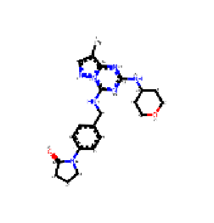 CC(C)c1cnn2c(NCc3ccc(N4CCCC4=O)cc3)nc(NC3CCOCC3)nc12